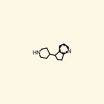 c1cnc2c(c1)C(C1CCNCC1)CC2